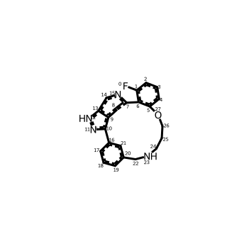 Fc1cccc2c1-c1cc3c(n[nH]c3cn1)-c1cccc(c1)CNCCCO2